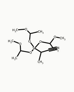 COC(C)O[Si](OC(C)OC)(OC(C)OC)C(C)C#N